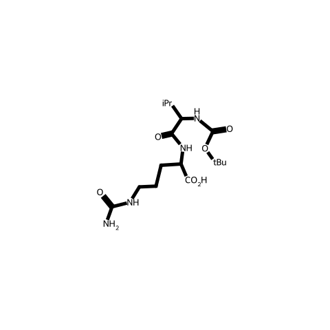 CC(C)C(NC(=O)OC(C)(C)C)C(=O)NC(CCCNC(N)=O)C(=O)O